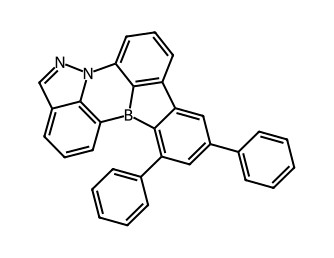 c1ccc(-c2cc(-c3ccccc3)c3c(c2)-c2cccc4c2B3c2cccc3cnn-4c23)cc1